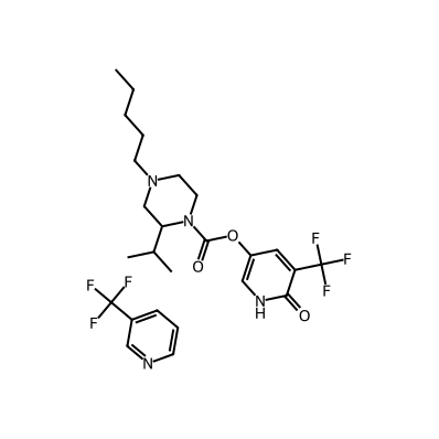 CCCCCN1CCN(C(=O)Oc2c[nH]c(=O)c(C(F)(F)F)c2)C(C(C)C)C1.FC(F)(F)c1cccnc1